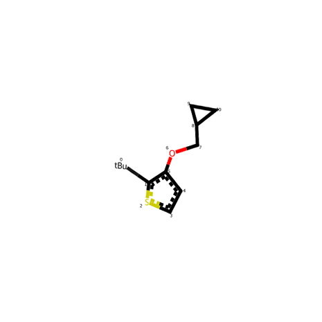 CC(C)(C)c1sccc1OCC1CC1